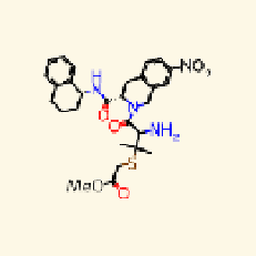 COC(=O)CSC(C)(C)C(N)C(=O)N1Cc2cc([N+](=O)[O-])ccc2C[C@H]1C(=O)N[C@@H]1CCCc2ccccc21